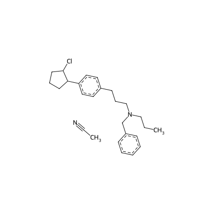 CC#N.CCCN(CCCc1ccc(C2CCCC2Cl)cc1)Cc1ccccc1